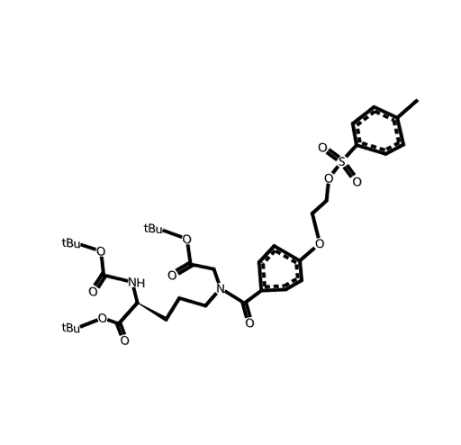 Cc1ccc(S(=O)(=O)OCCOc2ccc(C(=O)N(CCC[C@H](NC(=O)OC(C)(C)C)C(=O)OC(C)(C)C)CC(=O)OC(C)(C)C)cc2)cc1